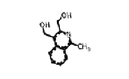 Cc1nc(CO)c(CO)c2ccccc12